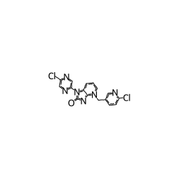 O=c1nc2n(Cc3ccc(Cl)nc3)cccc-2n1-c1cnc(Cl)cn1